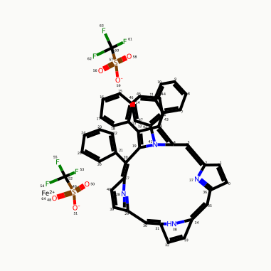 C1=Cc2cc3c(-c4ccccc4)c(-c4ccccc4)c(c(-c4ccccc4)c4nc(cc5ccc(cc1n2)[nH]5)C=C4)n3-c1ccccc1.O=S(=O)([O-])C(F)(F)F.O=S(=O)([O-])C(F)(F)F.[Fe+2]